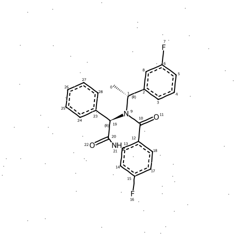 C[C@H](c1cccc(F)c1)N(C(=O)c1ccc(F)cc1)[C@@H](C(N)=O)c1ccccc1